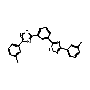 Cc1cccc(-c2noc(-c3cccc(-c4nc(-c5cccc(C)c5)no4)c3)n2)c1